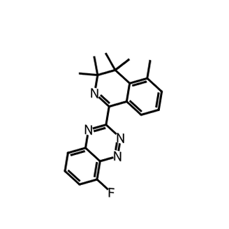 Cc1cccc2c1C(C)(C)C(C)(C)N=C2c1nnc2c(F)cccc2n1